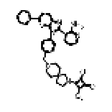 COc1c(N2CCC3(CCN(Cc4ccc(-n5c(-c6cccnc6N)nc6ccc(-c7ccccc7)nc65)cc4)CC3)C2)c(=O)c1=O